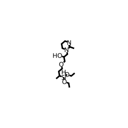 CCO[SiH](OCC)C(C)CCOCC(O)CN1CCCN=C1C